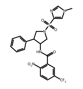 Cn1cnc(S(=O)(=O)N2CC(NC(=O)c3cc(C(F)(F)F)ccc3[N+](=O)[O-])C(c3ccccc3)C2)c1